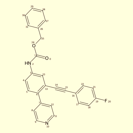 O=C(Nc1ccc(-c2ccncc2)c(C#Cc2ccc(F)cc2)c1)OCc1ccccc1